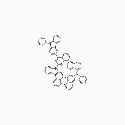 c1ccc(-n2c3ccccc3c3cc(-c4nc(-n5c6ccccc6c6c7cccc8c9cccc%10c9c(cc9c%10c%10ccccc%10n9-c9cccc%10ccccc9%10)c(cc65)c87)nc5ccccc45)ccc32)cc1